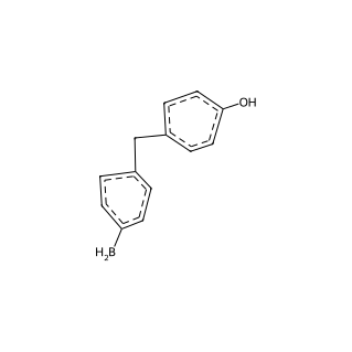 Bc1ccc(Cc2ccc(O)cc2)cc1